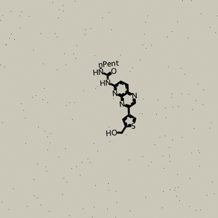 CCCCCNC(=O)Nc1ccc2ncc(-c3csc(CO)c3)nc2n1